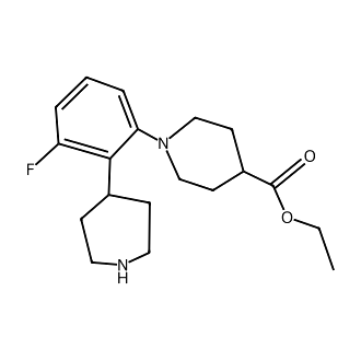 CCOC(=O)C1CCN(c2cccc(F)c2C2CCNCC2)CC1